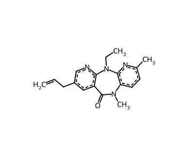 C=CCc1cnc2c(c1)C(=O)N(C)c1ccc(C)nc1N2CC